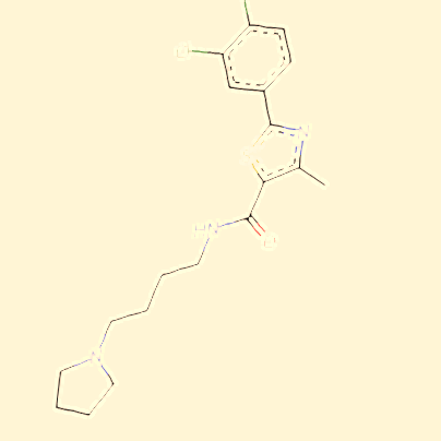 Cc1nc(-c2ccc(Cl)c(Cl)c2)sc1C(=O)NCCCCN1CCCC1